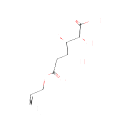 C=CCOC(=O)[C@H](O)[C@@H](O)[C@@H](O)[C@H](O)C(=O)O